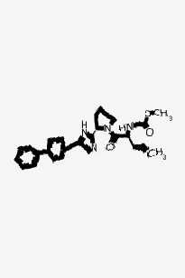 CCC[C@H](NC(=O)OC)C(=O)N1CCC[C@H]1c1ncc(-c2ccc(-c3ccccc3)cc2)[nH]1